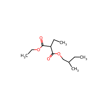 CCOC(=O)C(CC)C(=O)OCC(C)CC